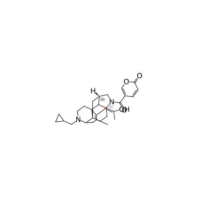 CC1=C(/C=C(\C)O)C23CCN(CC4CC4)C(C1)C21CCC2C3[C@@H](CN2C(=O)c2ccc(=O)oc2)C1